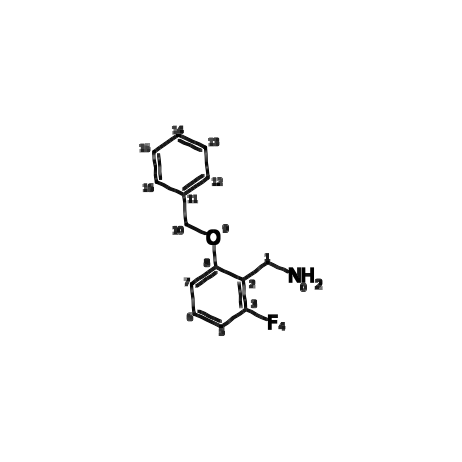 NCc1c(F)cccc1OCc1ccccc1